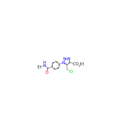 CCNC(=O)c1ccc(-n2nnc(C(=O)OCC)c2CCl)cc1